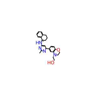 Cc1nc(N[C@@H]2CCCc3ccccc32)cc(-c2ccc3c(c2)N(CCO)CCO3)n1